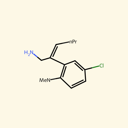 CCC/C=C(/CN)c1cc(Cl)ccc1NC